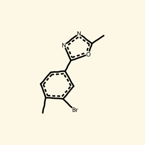 Cc1nnc(-c2ccc(C)c(Br)c2)o1